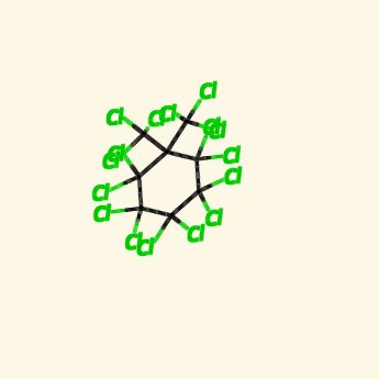 ClC(Cl)(Cl)C1(C(Cl)(Cl)Cl)C(Cl)(Cl)C(Cl)(Cl)C(Cl)(Cl)C(Cl)(Cl)C1(Cl)Cl